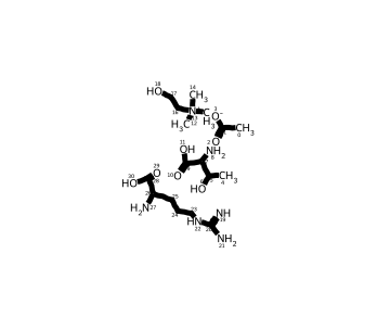 CC(=O)[O-].CC(O)C(N)C(=O)O.C[N+](C)(C)CCO.N=C(N)NCCCC(N)C(=O)O